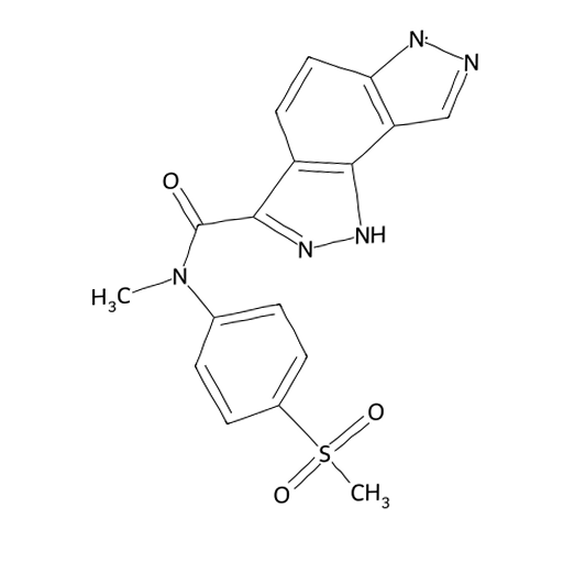 CN(C(=O)c1n[nH]c2c3c(ccc12)[N]N=C3)c1ccc(S(C)(=O)=O)cc1